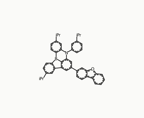 CC(C)c1cccc(N2c3cc(C(C)C)ccc3B3c4ccc(C(C)C)cc4-c4cc(-c5ccc6c(c5)oc5ccccc56)cc2c43)c1